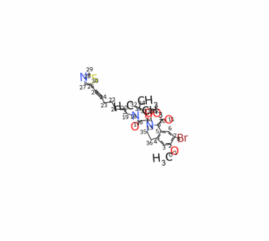 COc1cc2c(cc1Br)C(C(=O)O)N(C(=O)C(=O)N(CCCCCC#Cc1cncs1)C(C)(C)C)CC2